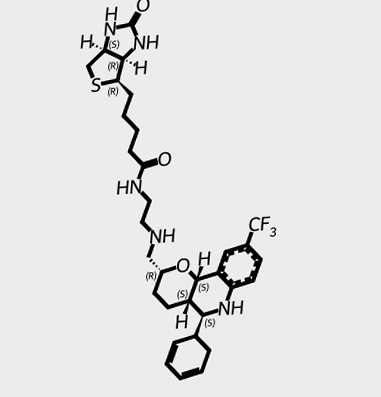 O=C(CCCC[C@H]1SC[C@H]2NC(=O)N[C@H]21)NCCNC[C@H]1CC[C@@H]2[C@H](O1)c1cc(C(F)(F)F)ccc1N[C@H]2C1C=CC=CC1